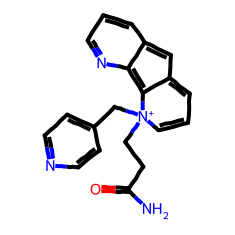 NC(=O)CC[N+]1(Cc2ccncc2)C=CC=C2C=c3cccnc3=C21